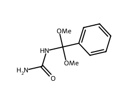 COC(NC(N)=O)(OC)c1ccccc1